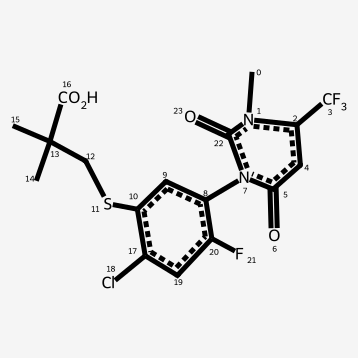 Cn1c(C(F)(F)F)cc(=O)n(-c2cc(SCC(C)(C)C(=O)O)c(Cl)cc2F)c1=O